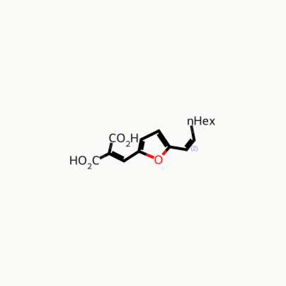 CCCCCC/C=C\c1ccc(C=C(C(=O)O)C(=O)O)o1